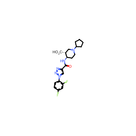 O=C(N[C@@H]1CCN(C2CCCC2)C[C@H]1C(=O)O)c1cn(-c2ccc(F)cc2F)nn1